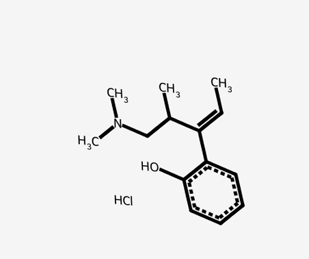 CC=C(c1ccccc1O)C(C)CN(C)C.Cl